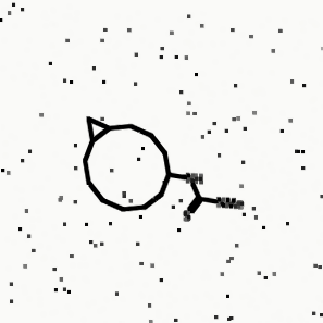 CNC(=S)NC1CCCCCCC2CC2CCC1